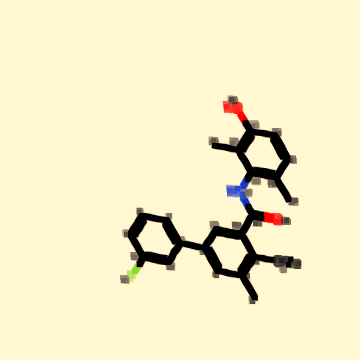 COc1c(C)cc(-c2cccc(F)c2)cc1C(=O)Nc1c(C)ccc(O)c1C